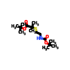 CC(C)(C)OC(=O)NCCSC(C)(C)C(=O)OC(C)(C)C